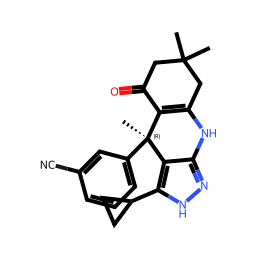 CC1(C)CC(=O)C2=C(C1)Nc1n[nH]c(C3CC3)c1[C@@]2(C)c1cccc(C#N)c1